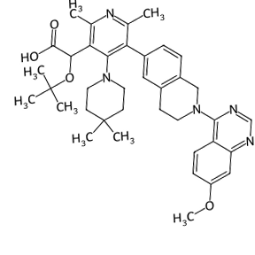 COc1ccc2c(N3CCc4cc(-c5c(C)nc(C)c(C(OC(C)(C)C)C(=O)O)c5N5CCC(C)(C)CC5)ccc4C3)ncnc2c1